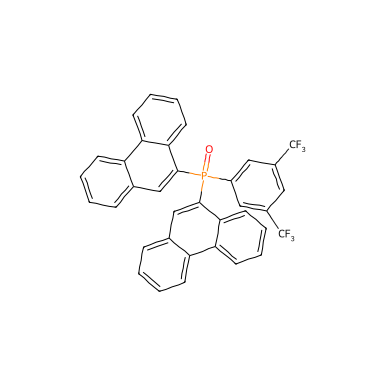 O=P(c1cc(C(F)(F)F)cc(C(F)(F)F)c1)(c1cc2ccccc2c2ccccc12)c1cc2ccccc2c2ccccc12